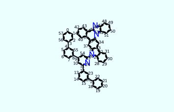 c1ccc(-c2cccc(-c3cc(-c4cccc(-c5ccccc5)c4)nc(-n4c5ccccc5c5cc6c(cc54)c4ccccc4c4nc5ccccc5n64)c3)c2)cc1